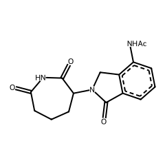 CC(=O)Nc1cccc2c1CN(C1CCCC(=O)NC1=O)C2=O